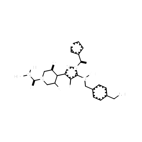 CC1CN(C(=O)N(C)C)CC(=O)C1c1nn(C(=O)c2ccsc2)c(N(C)Cc2ccc(CN)cc2)c1F